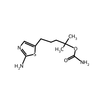 CC(C)(CCCc1cnc(N)s1)OC(N)=O